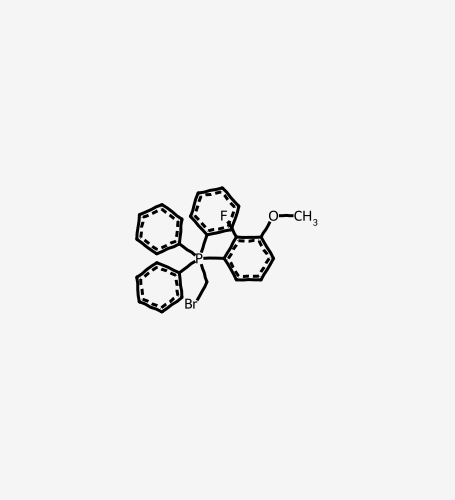 COc1cccc(P(CBr)(c2ccccc2)(c2ccccc2)c2ccccc2)c1F